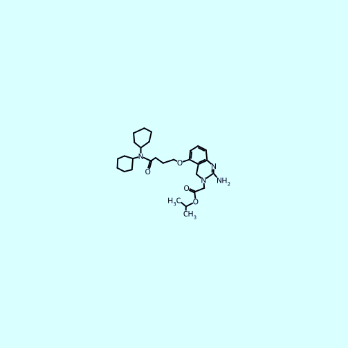 CC(C)OC(=O)CN1Cc2c(cccc2OCCCC(=O)N(C2CCCCC2)C2CCCCC2)N=C1N